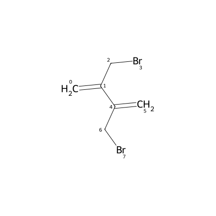 C=C(CBr)C(=C)CBr